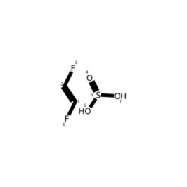 FC=CF.O=S(O)O